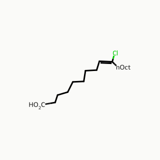 CCCCCCCC/C(Cl)=C\CCCCCCCC(=O)O